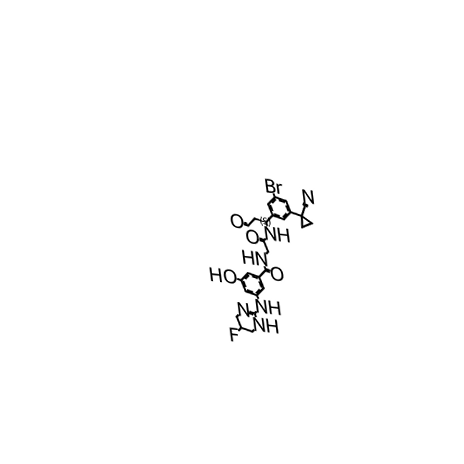 N#CC1(c2cc(Br)cc([C@H](CC=O)NC(=O)CNC(=O)c3cc(O)cc(NC4=NCC(F)CN4)c3)c2)CC1